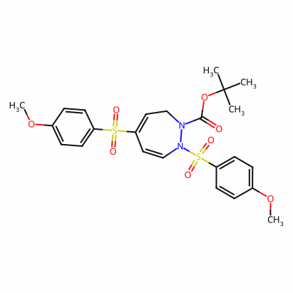 COc1ccc(S(=O)(=O)C2=CCN(C(=O)OC(C)(C)C)N(S(=O)(=O)c3ccc(OC)cc3)C=C2)cc1